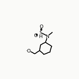 CN(C1CCCC(C[O])C1)[SH](=O)=O